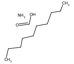 CCCCCCCCCC.N.O=CO